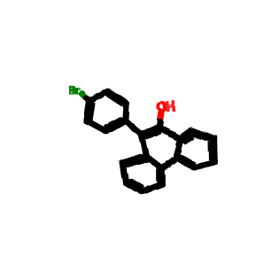 Oc1c(-c2ccc(Br)cc2)c2ccccc2c2ccccc12